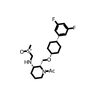 CC(=O)N1CCC[C@H](NC[S+](C)[O-])[C@@H]1CO[C@H]1CC[C@@H](c2cc(F)cc(F)c2)CC1